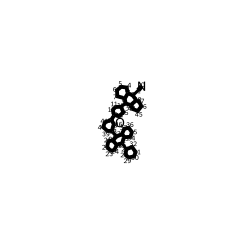 N#Cc1c2ccccc2c(-c2ccc3c(c2)oc2c(-c4c5ccccc5c(-c5ccccc5)c5ccccc45)cccc23)c2ccccc12